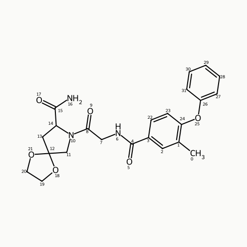 Cc1cc(C(=O)NCC(=O)N2CC3(CC2C(N)=O)OCCO3)ccc1Oc1ccccc1